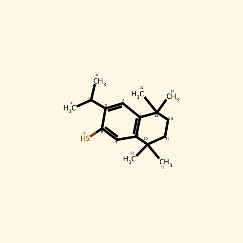 CC(C)c1cc2c(cc1S)C(C)(C)CCC2(C)C